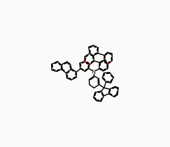 C1=C(N(c2cccc(-c3cccc4c3ccc3ccccc34)c2)c2ccccc2-c2cccc3cccc(-c4ccccc4)c23)C=C(C2(c3ccccc3)c3ccccc3-c3ccccc32)CC1